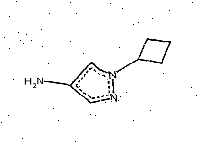 Nc1cnn(C2CCC2)c1